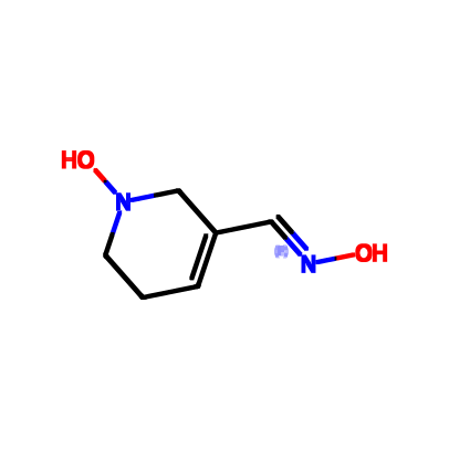 O/N=C/C1=CCCN(O)C1